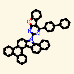 c1ccc(-c2ccc(-c3nc(-n4c5ccc6c7ccccc7c7ccccc7c6c5c5ccc6ccccc6c54)nc4oc5ccccc5c34)cc2)cc1